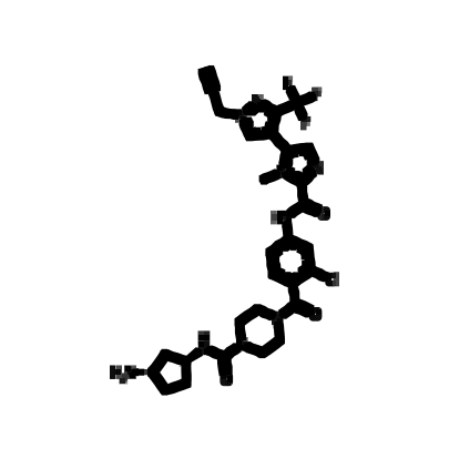 C#CCn1cc(-c2cnc(C(=O)Nc3ccc(C(=O)N4CCN(C(=O)N[C@H]5CC[C@H](N)C5)CC4)c(Cl)c3)n2C)c(C(F)(F)F)n1